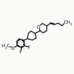 CCC/C=C/C1CCC(C2CCC(c3ccc(OC)c(F)c3F)CC2)OC1